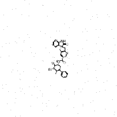 CCN1C(=O)[C@@H](NC(=O)c2cnc3c(c2)C[C@@]2(C3)C(=O)Nc3ncccc32)CC(c2ccccc2)[C@H]1C